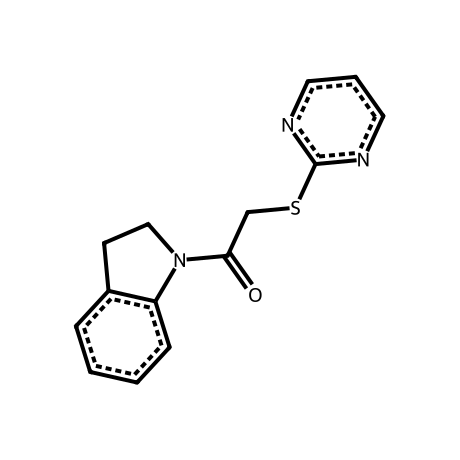 O=C(CSc1ncccn1)N1CCc2ccccc21